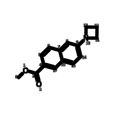 COC(=O)c1ccc2cc(N3CCC3)ccc2c1